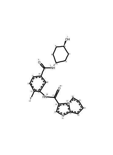 O=C(N[C@H]1CC[C@H](O)CC1)c1ccc(F)c(NC(=O)c2cnc3ccccn23)c1